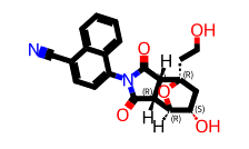 N#Cc1ccc(N2C(=O)[C@H]3[C@H]4O[C@](CCO)(C[C@@H]4O)[C@H]3C2=O)c2ccccc12